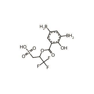 Bc1cc(B)c(O)c(C(=O)OC(CS(=O)(=O)O)C(F)(F)F)c1